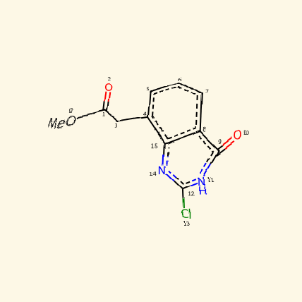 COC(=O)Cc1cccc2c(=O)[nH]c(Cl)nc12